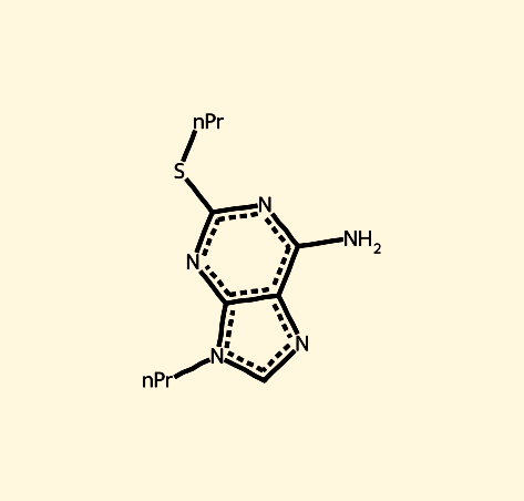 CCCSc1nc(N)c2ncn(CCC)c2n1